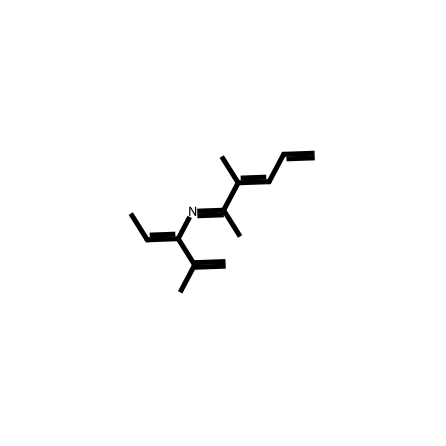 C=C/C=C(C)/C(C)=N/C(=C\C)C(=C)C